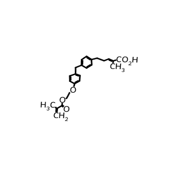 C=C(C)C(=O)OCCOc1ccc(Cc2ccc(CCC=C(C)C(=O)O)cc2)cc1